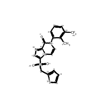 Cc1c(-n2ccn3c(S(=O)(=O)Cc4cccs4)nnc3c2=O)cccc1C(F)(F)F